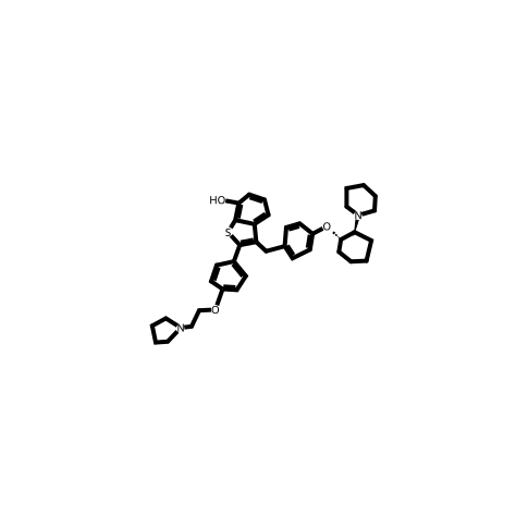 Oc1cccc2c(Cc3ccc(O[C@H]4CCCC[C@@H]4N4CCCCC4)cc3)c(-c3ccc(OCCN4CCCC4)cc3)sc12